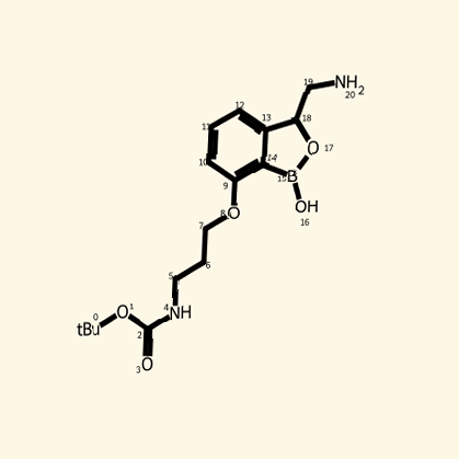 CC(C)(C)OC(=O)NCCCOc1cccc2c1B(O)OC2CN